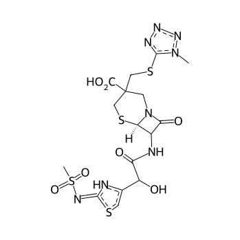 Cn1nnnc1SCC1(C(=O)O)CS[C@@H]2C(NC(=O)C(O)c3csc(=NS(C)(=O)=O)[nH]3)C(=O)N2C1